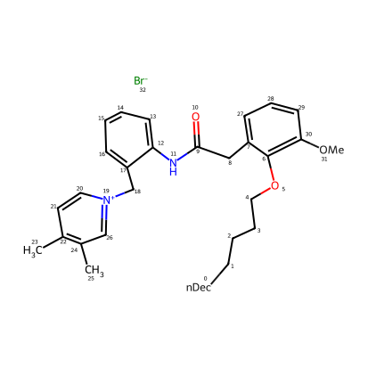 CCCCCCCCCCCCCCOc1c(CC(=O)Nc2ccccc2C[n+]2ccc(C)c(C)c2)cccc1OC.[Br-]